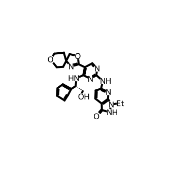 CCn1[nH]c(=O)c2ccc(Nc3ncc(C4=NC5(CCOCC5)CO4)c(N[C@H](CO)c4ccccc4)n3)nc21